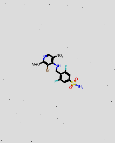 COc1ncc([N+](=O)[O-])c(NCc2c(F)cc(S(N)(=O)=O)cc2F)c1Br